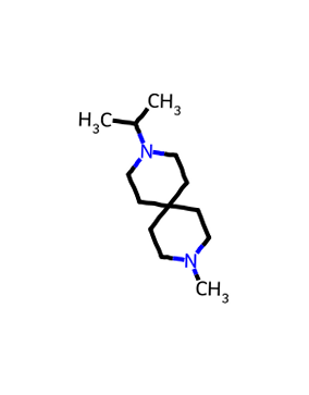 CC(C)N1CCC2(CCN(C)CC2)CC1